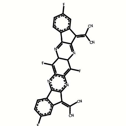 N#CC(C#N)=C1C2=NC3C(F)=c4nc5c(nc4=C(F)C3N=C2c2ccc(F)cc21)-c1ccc(F)cc1C5=C(C#N)C#N